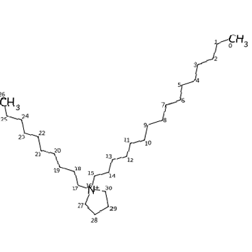 CCCCCCCCCCCCCCCC[N+]1(CCCCCCCCCC)CCCC1